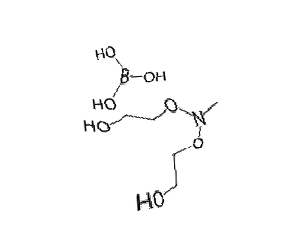 CN(OCCO)OCCO.OB(O)O